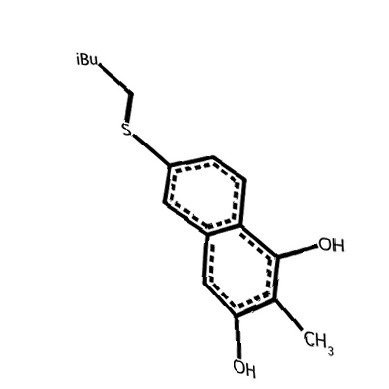 CCC(C)CSc1ccc2c(O)c(C)c(O)cc2c1